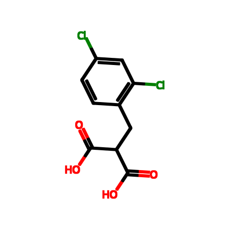 O=C(O)C(Cc1ccc(Cl)cc1Cl)C(=O)O